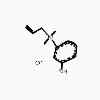 C=CC[N+](C)(C)c1cccc(O)c1.[Cl-]